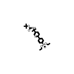 CCOP(=O)(OCC)c1ccc(-c2ccc(C(C)(C)NC(=O)OC(C)(C)C)cn2)cc1